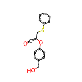 O=C=C(CSc1ccccc1)Oc1ccc(CO)cc1